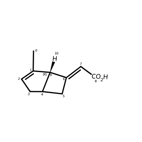 CC1=CCC2CC(=CC(=O)O)[C@@H]12